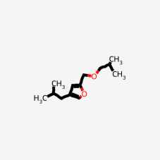 CC(C)COCc1cc(CC(C)C)co1